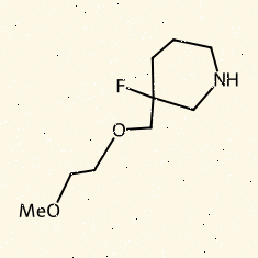 COCCOCC1(F)CCCNC1